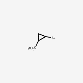 [CH2]C(=O)C1CC1C(=O)O